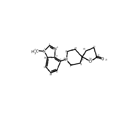 Cn1cnc2c(N3CCC4(CCC(=O)O4)CC3)cccc21